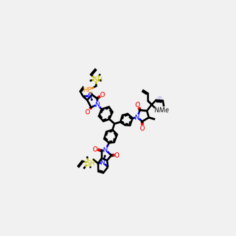 C=CCC(/C=C\C)(NC)C1C(=O)N(c2ccc(C(c3ccc(N4C(=O)C5C6C=CC(C[SH](C)(C)(C)C=C)(C5C4=O)N6C)cc3)c3ccc(N4C(=O)C5C6C=C[PH](C[SH](C)(C)(C)C=C)(C5C4=O)N6C)cc3)cc2)C(=O)C1C